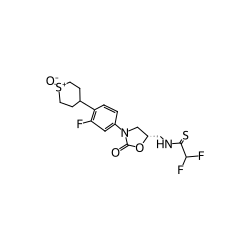 O=C1O[C@@H](CNC(=S)C(F)F)CN1c1ccc(C2CC[S+]([O-])CC2)c(F)c1